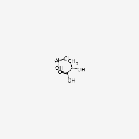 CC(O)C(=O)O.[OH][Al][Cl]